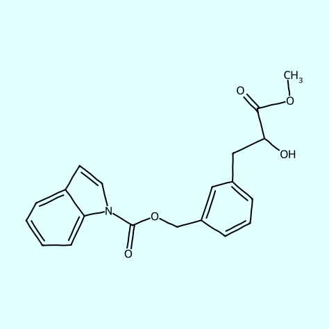 COC(=O)C(O)Cc1cccc(COC(=O)n2ccc3ccccc32)c1